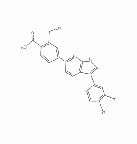 CCc1cc(-c2ccc3c(-c4ccc(Cl)c(F)c4)n[nH]c3n2)ccc1C(=O)O